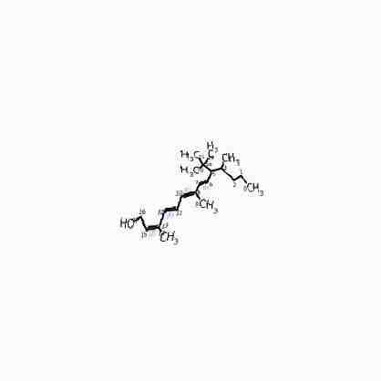 CCCC(C)C(/C=C/C(C)=C/C=C/C(C)=C\CO)C(C)(C)C